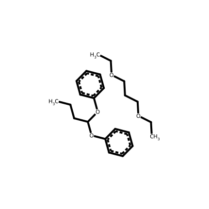 CCCC(Oc1ccccc1)Oc1ccccc1.CCOCCCOCC